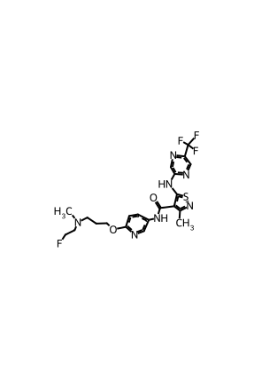 Cc1nsc(Nc2cnc(C(F)(F)F)cn2)c1C(=O)Nc1ccc(OCCCN(C)CCF)nc1